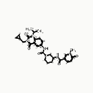 CC(C)n1c(=O)n(CC2CC2)c(=O)c2cc(NC(=O)N3CCCC(NC(=O)c4ccc(=O)n(C)c4)C3)ccc21